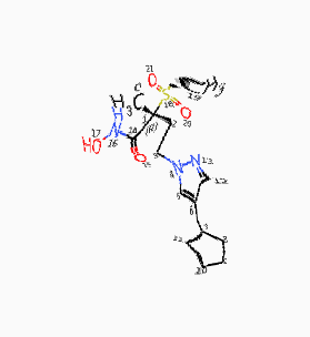 C[C@@](CCn1cc(C2CCCC2)cn1)(C(=O)NO)S(C)(=O)=O